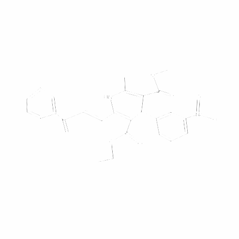 CCOC(=O)C1=C(/C=C/C(=O)c2ccccc2)NC(C)=C(C(=O)OC)C1c1cccc([N+](=O)[O-])c1